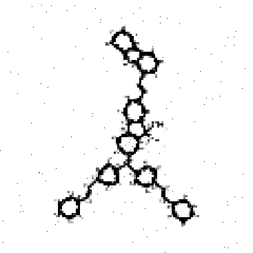 CC1(C)c2cc(/C=C/c3cccc4c3oc3ccccc34)ccc2-c2ccc(N(c3ccc(/C=C/c4ccccc4)cc3)c3ccc(/C=C/c4ccccc4)cc3)cc21